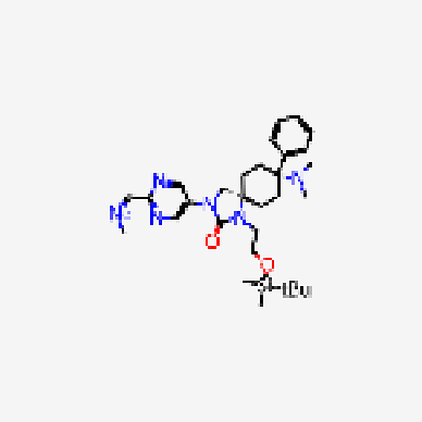 C/N=C\c1ncc(N2C[C@]3(CC[C@](c4ccccc4)(N(C)C)CC3)N(CCO[Si](C)(C)C(C)(C)C)C2=O)cn1